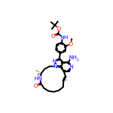 COc1cc(-c2nn3c4c(cnc(N)c24)/C=C/CCCCCC(=O)N[C@H](C)CC3)ccc1NC(=O)OC(C)(C)C